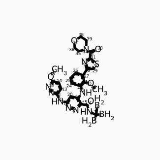 BC(B)(B)NC(=O)c1nnc(Nc2ccc(OC)nn2)cc1Nc1cccc(-c2csc(C(=O)N3CCOCC3)n2)c1OC